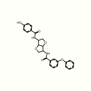 O=C(NC1COC2C(NC(=O)c3cccc(Oc4ccccc4)c3)COC12)c1ccc(O)cc1